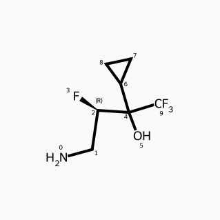 NC[C@@H](F)C(O)(C1CC1)C(F)(F)F